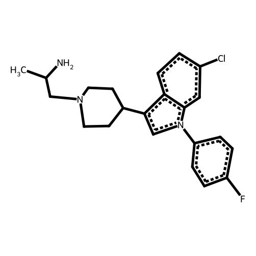 CC(N)CN1CCC(c2cn(-c3ccc(F)cc3)c3cc(Cl)ccc23)CC1